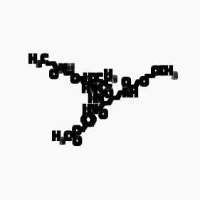 CCCC(=O)NCCOCCC(=O)N[C@H](C(=O)NC(CCCCNC(=O)CCOCCOC)C(=O)Nc1ccc(COC(C)=O)cc1)C(C)C